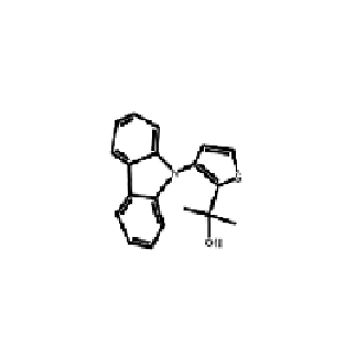 CC(C)(O)c1sccc1-n1c2ccccc2c2ccccc21